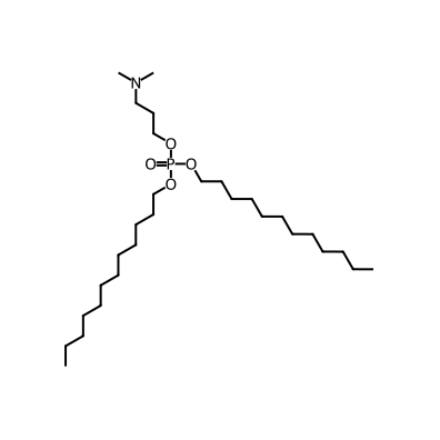 CCCCCCCCCCCCOP(=O)(OCCCCCCCCCCCC)OCCCN(C)C